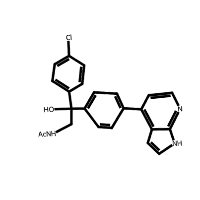 CC(=O)NCC(O)(c1ccc(Cl)cc1)c1ccc(-c2ccnc3[nH]ccc23)cc1